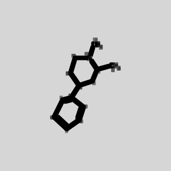 CC1CC(c2ccccc2)CCN1C